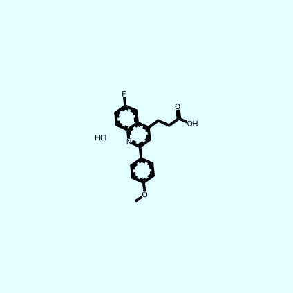 COc1ccc(-c2cc(CCC(=O)O)c3cc(F)ccc3n2)cc1.Cl